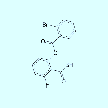 O=C(Oc1cccc(F)c1C(=O)S)c1ccccc1Br